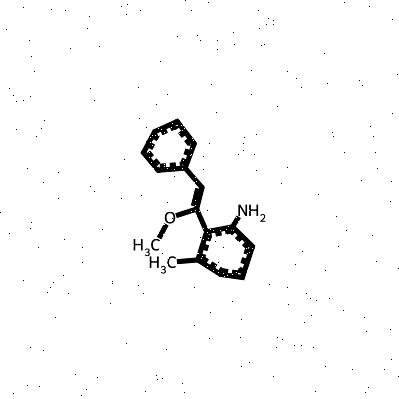 COC(=Cc1ccccc1)c1c(C)cccc1N